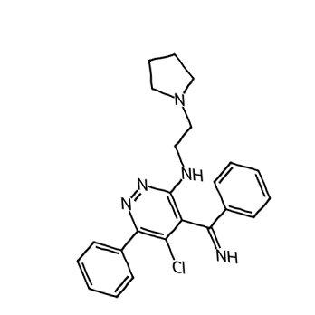 N=C(c1ccccc1)c1c(NCCN2CCCC2)nnc(-c2ccccc2)c1Cl